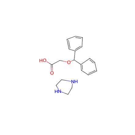 C1CNCCN1.O=C(O)COC(c1ccccc1)c1ccccc1